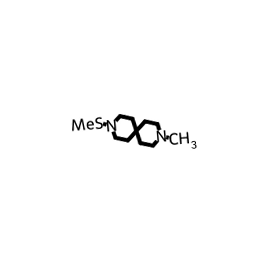 CSN1CCC2(CCN(C)CC2)CC1